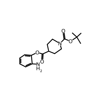 CC(C)(C)OC(=O)N1CCC(C(=O)Oc2ccccc2N)CC1